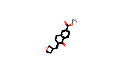 COC(=O)c1ccc2c(c1)CC/C(=C\C1CCOC1)C2=O